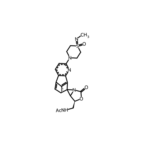 CN=S1(=O)CCN(c2ccc3c(n2)C2=C(F)C3=CCC23C2[C@H](CNC(C)=O)OC(=O)N23)CC1